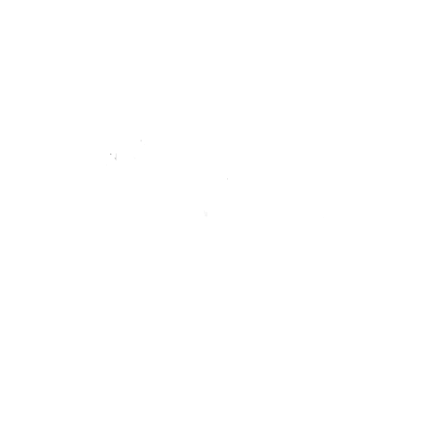 NC(=O)Cc1ccc(Oc2cc(-c3ccccc3)cc(-c3ccccc3)c2)c(Br)c1